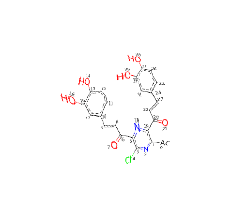 CC(=O)c1nc(Cl)c(C(=O)C=Cc2ccc(O)c(O)c2)nc1C(=O)C=Cc1ccc(O)c(O)c1